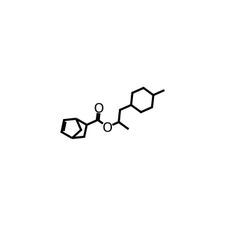 CC1CCC(CC(C)OC(=O)C2CC3C=CC2C3)CC1